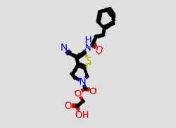 N#Cc1c(NC(=O)C=Cc2ccccc2)sc2c1CCN(C(=O)OCC(=O)O)C2